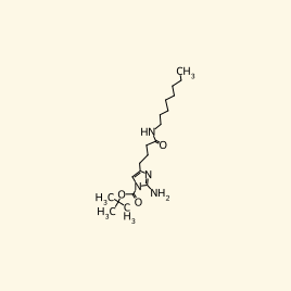 CCCCCCCCNC(=O)CCCc1cn(C(=O)OC(C)(C)C)c(N)n1